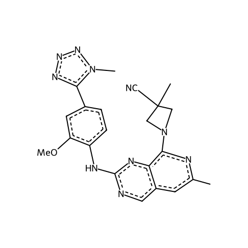 COc1cc(-c2nnnn2C)ccc1Nc1ncc2cc(C)nc(N3CC(C)(C#N)C3)c2n1